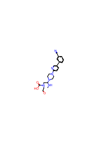 CNC(CN(CC=O)C(=O)O)N1CCN(c2ccc(-c3cccc(C#N)c3)cn2)CC1